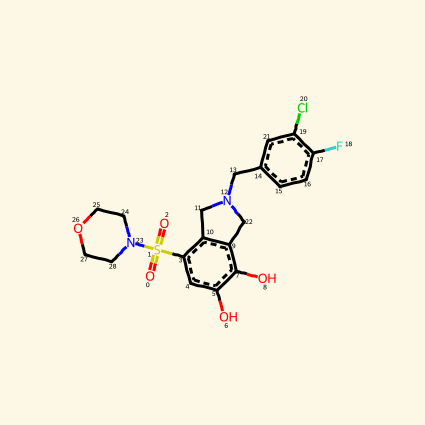 O=S(=O)(c1cc(O)c(O)c2c1CN(Cc1ccc(F)c(Cl)c1)C2)N1CCOCC1